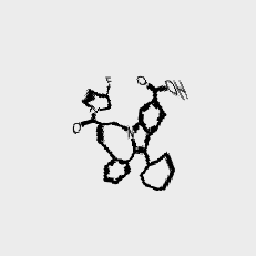 O=C(O)c1ccc2c(C3CCCCC3)c3n(c2c1)CC(C(=O)N1CC[C@@H](F)C1)=Cc1ccccc1-3